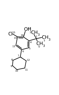 CC(C)(C)c1cc([C]2CCCCC2)cc(Cl)c1O